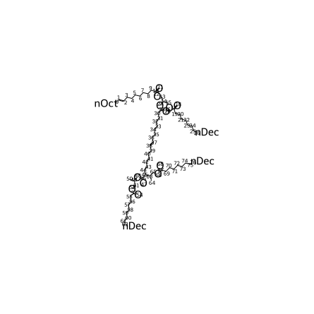 CCCCCCCCC=CCCCCCCCC(=O)OCC(COC(=O)CCCCCCCCCCCCCCCCC)OC(=O)CCCCCCCC=CCCCCCCC(C(=O)OC(C)COC(=O)CCCCCCCCCCCCCCCCC)C(C)COC(=O)CCCCCCCCCCCCCCCCC